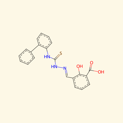 O=C(O)c1cccc(C=NNC(=S)Nc2ccccc2-c2ccccc2)c1O